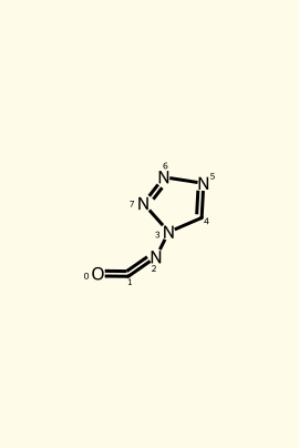 O=C=Nn1cnnn1